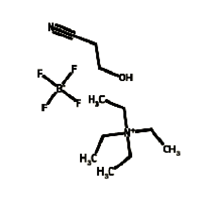 CC[N+](CC)(CC)CC.F[B-](F)(F)F.N#CCCO